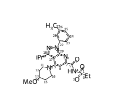 CCS(=O)(=O)NC(=O)c1cc(N2CCC(OC)CC2)c2c(C(C)C)nn(-c3cccc(C)c3)c2n1